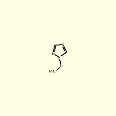 COOn1cncn1